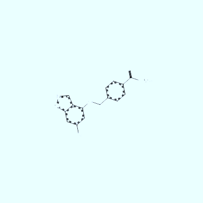 COC(=O)c1ccc(COc2cc(Br)cc3[nH]ncc23)cc1